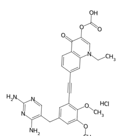 CCn1cc(OC(=O)O)c(=O)c2ccc(C#Cc3cc(Cc4cnc(N)nc4N)cc(OC)c3OC)cc21.Cl